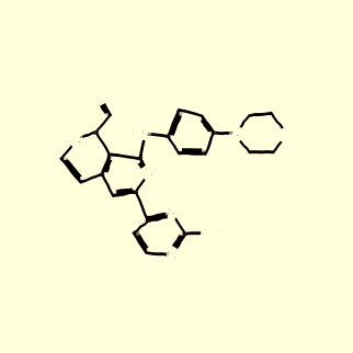 Cc1nccc(-c2cc3c(c(Nc4ccc(N5CCOCC5)cc4)n2)C(C=O)NC=C3)n1